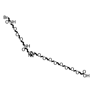 O=C(O)CCOCCOCCOCCOCCOCCOCCOCCOCCN1CN(CCC(=O)NCCCOCCOCCOCCCNC(=O)CBr)N=N1